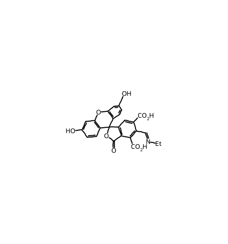 CCN=Cc1c(C(=O)O)cc2c(c1C(=O)O)C(=O)OC21c2ccc(O)cc2Oc2cc(O)ccc21